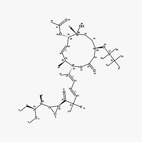 CC[C@H](OC)[C@@H](C)C1O[C@@H]1C(=O)C(C)(F)/C=C/C=C(\C)[C@H]1OC(=O)C[C@H](O[Si](C)(C)C(C)(C)C)CC[C@@](C)(O)[C@@H](OC(C)=O)/C=C/[C@@H]1C